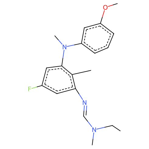 CCN(C)/C=N/c1cc(F)cc(N(C)c2cccc(OC)c2)c1C